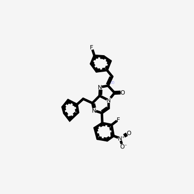 O=C1/C(=C/c2ccc(F)cc2)N=C2C(Cc3ccccc3)=NC(c3cccc([N+](=O)[O-])c3F)=CN12